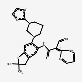 CC1(C)Cc2cc(NC(=O)/C(C=N)=C3\N=CC=CN3)c(N3CCCC(c4ncc[nH]4)C3)cc2O1